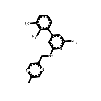 Cc1cccc(-c2cc(NCc3cnc(Cl)cn3)nc(N)n2)c1C